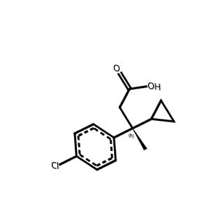 C[C@](CC(=O)O)(c1ccc(Cl)cc1)C1CC1